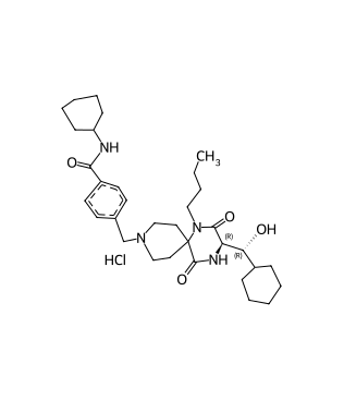 CCCCN1C(=O)[C@@H]([C@H](O)C2CCCCC2)NC(=O)C12CCN(Cc1ccc(C(=O)NC3CCCCC3)cc1)CC2.Cl